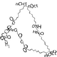 CCCCCCCCC(CCCCCCCCC(=O)NCCNC(=O)CCCCCCCCC(CCCCCCCC)C(CCCCCCCC)CCCCCCCCC(=O)OCCOc1ccc(C(=O)C(C)(C)O)cc1)C(CCCCCCCC)CCCCCCCCC(=O)OCCOCCOCCOC